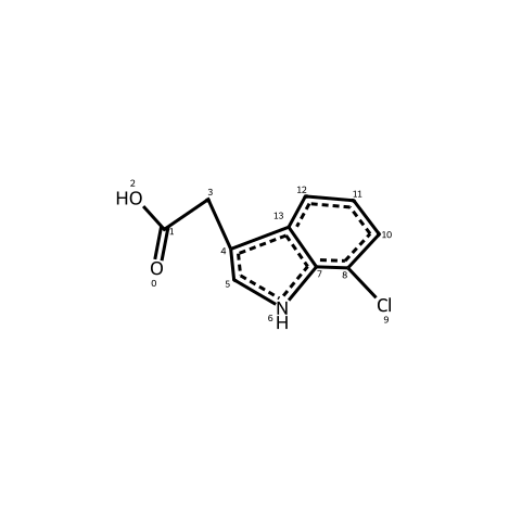 O=C(O)Cc1c[nH]c2c(Cl)cccc12